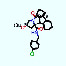 COC(=O)N1C[C@H](OC(C)(C)C)C[C@]1(C(=O)NCc1ccc(Cl)cc1)C1c2ccccc2-c2ccccc21